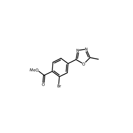 COC(=O)c1ccc(-c2nnc(C)o2)cc1Br